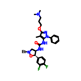 CCN1C[C@@H](NC(=O)Nc2c(C)c(OCCCN(C)C)nn2-c2ccccc2)[C@H](c2ccc(F)c(F)c2)O1